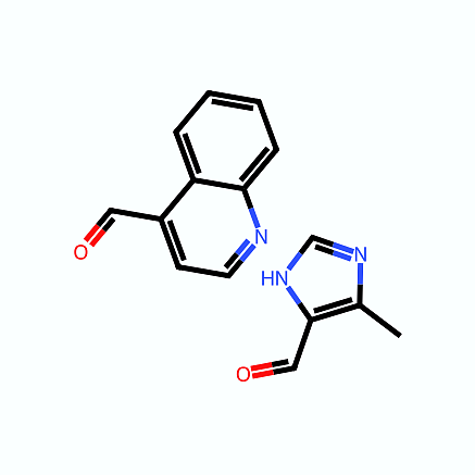 Cc1nc[nH]c1C=O.O=Cc1ccnc2ccccc12